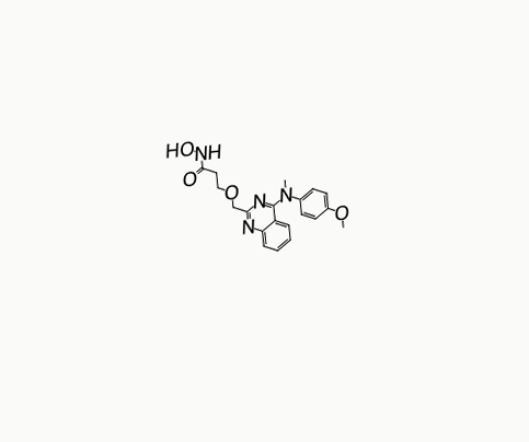 COc1ccc(N(C)c2nc(COCCC(=O)NO)nc3ccccc23)cc1